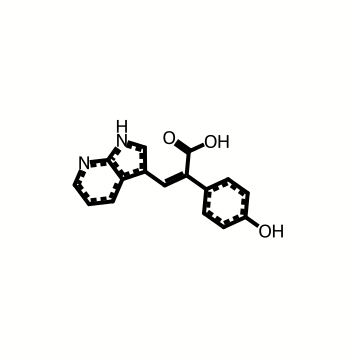 O=C(O)/C(=C\c1c[nH]c2ncccc12)c1ccc(O)cc1